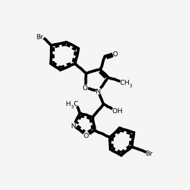 CC1=C(C=O)C(c2ccc(Br)cc2)ON1C(O)c1c(C)noc1-c1ccc(Br)cc1